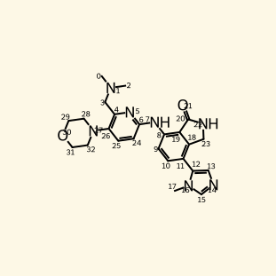 CN(C)Cc1nc(Nc2ccc(-c3cncn3C)c3c2C(=O)NC3)ccc1N1CCOCC1